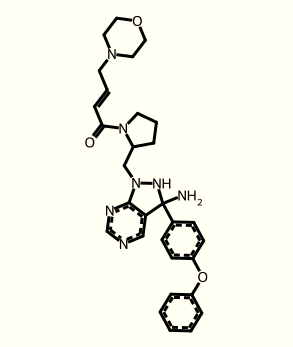 NC1(c2ccc(Oc3ccccc3)cc2)NN(CC2CCCN2C(=O)/C=C/CN2CCOCC2)c2ncncc21